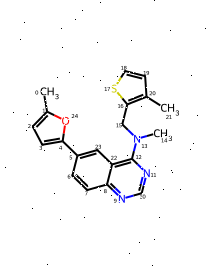 Cc1ccc(-c2ccc3ncnc(N(C)Cc4sccc4C)c3c2)o1